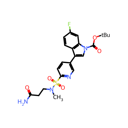 CN(CCC(N)=O)S(=O)(=O)c1ccc(-c2cn(C(=O)OC(C)(C)C)c3cc(F)ccc23)cn1